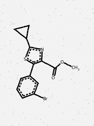 COC(=O)c1nc(C2CC2)sc1-c1cccc(Br)c1